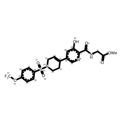 COC(=O)CNC(=O)c1ncc(C2=CCN(S(=O)(=O)c3ccc(OC(F)(F)F)cc3)CC2)cc1O